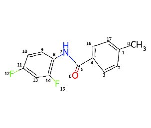 Cc1ccc(C(=O)Nc2ccc(F)cc2F)cc1